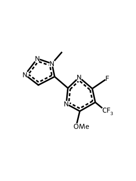 COc1nc(-c2cnnn2C)nc(F)c1C(F)(F)F